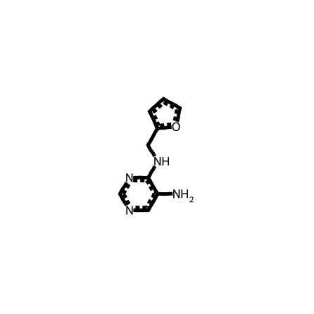 Nc1cncnc1NCc1ccco1